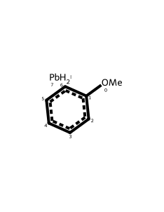 COc1ccccc1.[PbH2]